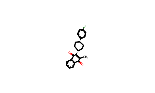 CC1=C([C@H]2CC[C@@H](c3ccc(Cl)cc3)CC2)C(=O)c2ccccc2C1=O